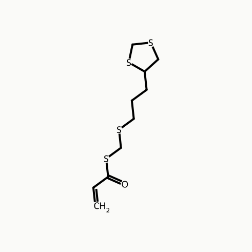 C=CC(=O)SCSCCCC1CSCS1